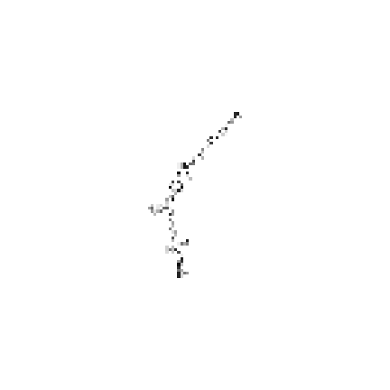 CC(C)C#CCNC(=O)OCCCCOC(C)SSc1ccc(CC(=O)NCCOCCOCCOCCC(C)C)cc1